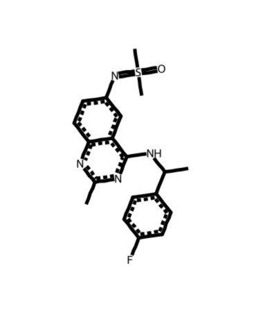 Cc1nc(NC(C)c2ccc(F)cc2)c2cc(N=S(C)(C)=O)ccc2n1